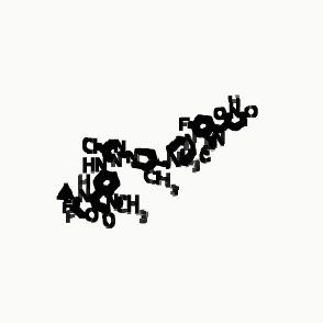 C[C@H]1CN(c2ncc(Cl)c(Nc3ccc4c(c3)c3c(c(=O)n4C)OCC(F)(F)[C@H](C4CC4)N3)n2)CC[C@H]1CN1CCN(c2c(F)ccc3c(C4CCC(=O)NC4=O)nn(C)c23)CC1